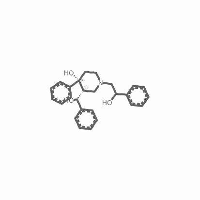 OC(CN1CC[C@](O)(c2ccccc2)[C@@H](C(O)c2ccccc2)C1)c1ccccc1